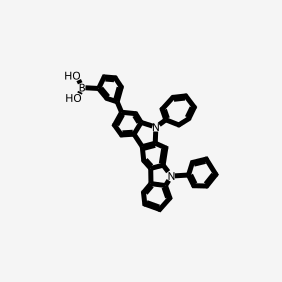 OB(O)c1cccc(-c2ccc3c4cc5c6ccccc6n(-c6ccccc6)c5cc4n(C4=CC=CC=CC4)c3c2)c1